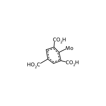 O=C(O)c1cc(C(=O)O)[c]([Mo])c(C(=O)O)c1